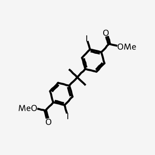 COC(=O)c1ccc(C(C)(C)c2ccc(C(=O)OC)c(I)c2)cc1I